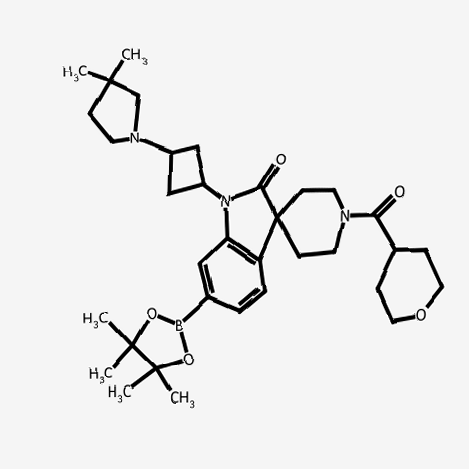 CC1(C)CCN(C2CC(N3C(=O)C4(CCN(C(=O)C5CCOCC5)CC4)c4ccc(B5OC(C)(C)C(C)(C)O5)cc43)C2)C1